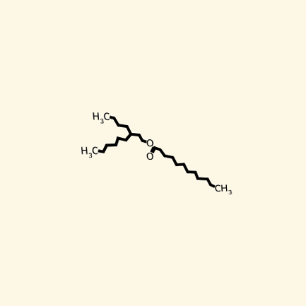 CCCCCCCCCCCC(=O)OCCC(CCCC)CCCCCC